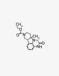 CCOC(=O)N1CC[C@@]2(C)C(C1)c1cccc3c1N2CC(=O)N3